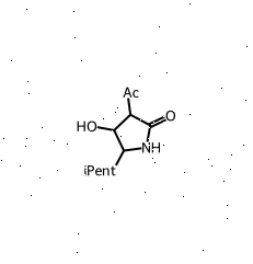 CCCC(C)C1NC(=O)C(C(C)=O)C1O